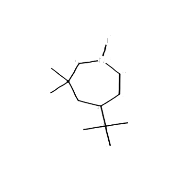 CC1(C)CC(C(C)(C)C)CCN(I)C1